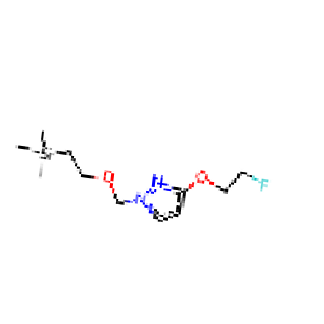 C[Si](C)(C)CCOCn1ccc(OCCF)n1